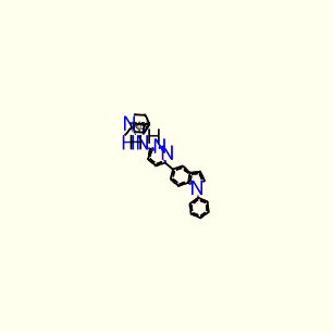 C[C@@H]1[C@@H](Nc2ccc(-c3ccc4c(ccn4-c4ccccc4)c3)nn2)C2CCN1CC2